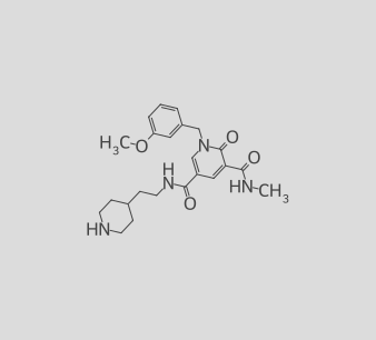 CNC(=O)c1cc(C(=O)NCCC2CCNCC2)cn(Cc2cccc(OC)c2)c1=O